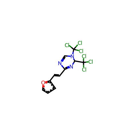 ClC(Cl)(Cl)C1N=C(C=Cc2ccco2)N=CN1C(Cl)(Cl)Cl